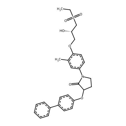 CCS(=O)(=O)C[C@@H](O)COc1ccc(N2CCC(Oc3ccc(-c4ccccc4)cc3)C2=O)cc1C